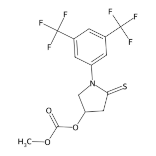 COC(=O)OC1CC(=S)N(c2cc(C(F)(F)F)cc(C(F)(F)F)c2)C1